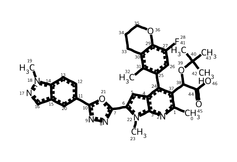 Cc1nc2c(cc(-c3nnc(-c4ccc5c(cnn5C)c4)o3)n2C)c(-c2cc(F)c3c(c2C)CCCO3)c1C(OC(C)(C)C)C(=O)O